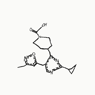 Cc1cc(-c2cnc(C3CC3)nc2C2CCN(C(=O)O)CC2)on1